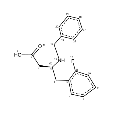 O=C(O)C[C@H](Cc1ccccc1F)NCc1ccccc1